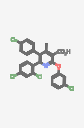 Cc1c(C(=O)O)c(Oc2cccc(Cl)c2)nc(-c2ccc(Cl)cc2Cl)c1-c1ccc(Cl)cc1